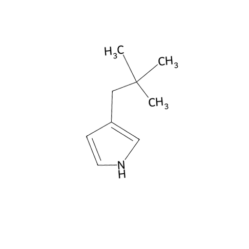 CC(C)(C)Cc1cc[nH]c1